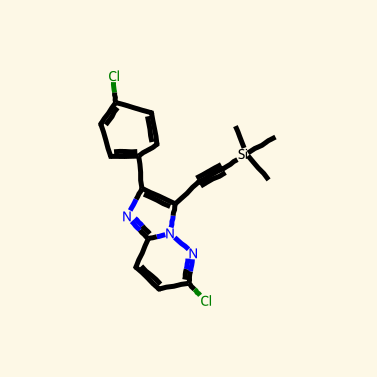 C[Si](C)(C)C#Cc1c(-c2ccc(Cl)cc2)nc2ccc(Cl)nn12